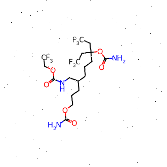 NC(=O)OCCCC(CCCC(CC(F)(F)F)(CC(F)(F)F)OC(N)=O)CNC(=O)OCC(F)(F)F